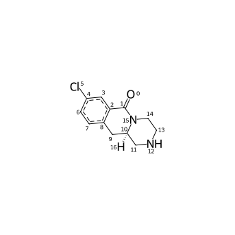 O=C1c2cc(Cl)ccc2C[C@@H]2CNCCN12